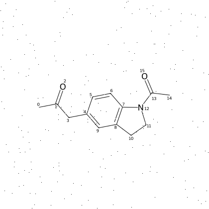 CC(=O)Cc1ccc2c(c1)CCN2C(C)=O